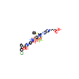 O=C(O)CCCCCN1CCC2(CC1)CCN(CC[C@H](CSc1ccccc1)Nc1ccc(S(=O)(=O)NC(=O)c3ccc(N4CCC([C@@H](O)c5ccccc5-c5ccc(Cl)cc5)CC4)cc3)cc1S(=O)(=O)C(F)(F)F)CC2